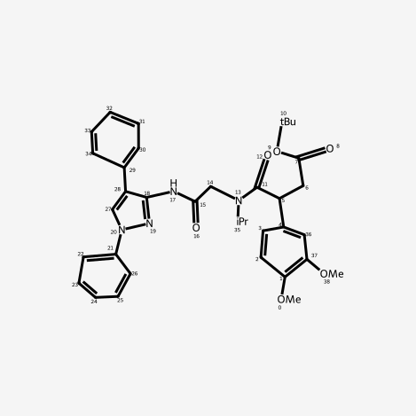 COc1ccc(C(CC(=O)OC(C)(C)C)C(=O)N(CC(=O)Nc2nn(-c3ccccc3)cc2-c2ccccc2)C(C)C)cc1OC